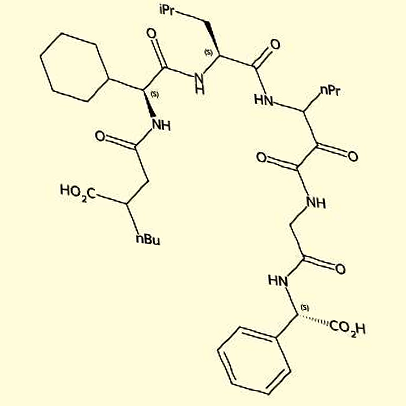 CCCCC(CC(=O)N[C@H](C(=O)N[C@@H](CC(C)C)C(=O)NC(CCC)C(=O)C(=O)NCC(=O)N[C@H](C(=O)O)c1ccccc1)C1CCCCC1)C(=O)O